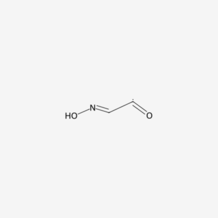 O=[C]/C=N/O